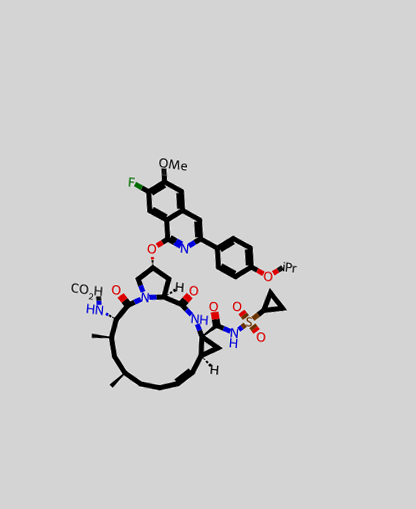 COc1cc2cc(-c3ccc(OC(C)C)cc3)nc(O[C@@H]3C[C@H]4C(=O)N[C@]5(C(=O)NS(=O)(=O)C6CC6)C[C@H]5C=CCC[C@@H](C)C[C@@H](C)[C@H](NC(=O)O)C(=O)N4C3)c2cc1F